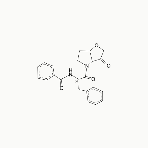 O=C(N[C@@H](Cc1ccccc1)C(=O)N1CCC2OCC(=O)C21)c1ccccc1